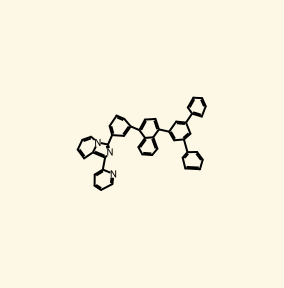 c1ccc(-c2cc(-c3ccccc3)cc(-c3ccc(-c4cccc(-c5nc(-c6ccccn6)c6ccccn56)c4)c4ccccc34)c2)cc1